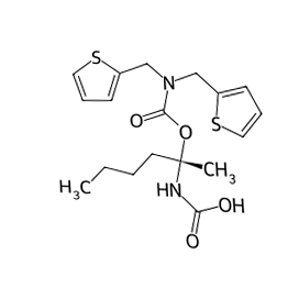 CCCC[C@@](C)(NC(=O)O)OC(=O)N(Cc1cccs1)Cc1cccs1